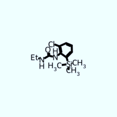 CCNC(=O)Nc1c(Cl)cccc1[Si](C)(C)C